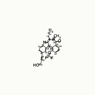 CC[C@@H]1c2nc3ccc(C#CCO)cc3n2-c2c(OC(F)F)cccc2C(=O)N1C